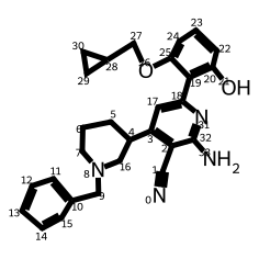 N#Cc1c(C2CCCN(Cc3ccccc3)C2)cc(-c2c(O)cccc2OCC2CC2)nc1N